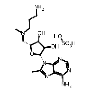 Cc1nc2c(N)ncnc2n1[C@@H]1O[C@H](CN(C)CCCN)C(O)C1O.O=S(=O)(O)O